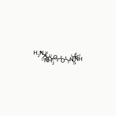 CC1(C)CN(CCOCCOCCC(N)C(C)(C)N)CN1